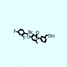 Cc1cc(OCc2ccc(F)cc2F)c(Br)c(=O)n1-c1cccc(CO)c1